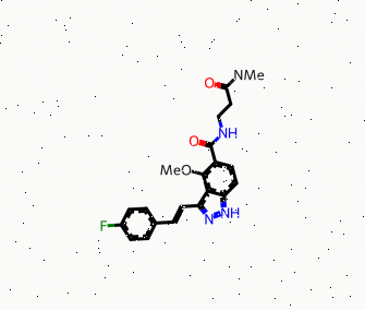 CNC(=O)CCNC(=O)c1ccc2[nH]nc(/C=C/c3ccc(F)cc3)c2c1OC